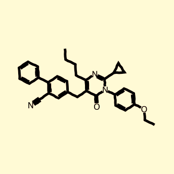 CCCCc1nc(C2CC2)n(-c2ccc(OCC)cc2)c(=O)c1Cc1ccc(-c2ccccc2)c(C#N)c1